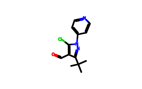 CC(C)(C)c1nn(-c2ccncc2)c(Cl)c1C=O